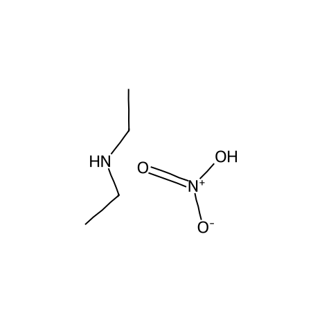 CCNCC.O=[N+]([O-])O